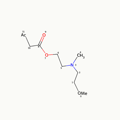 COCCN(C)CCOC(=O)CC(C)=O